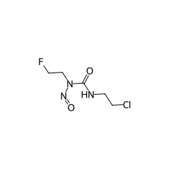 O=NN(CCF)C(=O)NCCCl